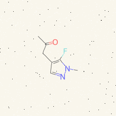 CC(=O)Cc1cnn(C)c1F